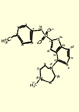 Cc1ccc(NS(=O)(=O)c2cc3c(N4CCN(C)CC4)nccc3s2)cc1